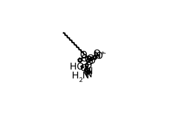 CCCCCCCCCCCCCCCCCCOC[C@H](COP(=O)(OC[C@@H]1C[C@@H](OC(C)(C)O)[C@](C)(c2ccc3c(N)ncnn23)O1)Oc1ccc([N+](=O)[O-])cc1)OCc1ccccc1